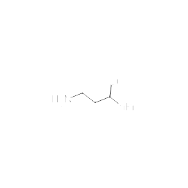 CCCC(CC)CCN